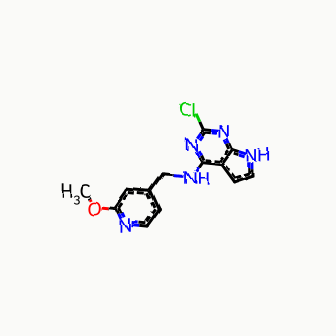 COc1cc(CNc2nc(Cl)nc3[nH]ccc23)ccn1